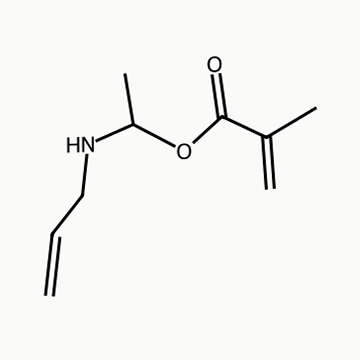 C=CCNC(C)OC(=O)C(=C)C